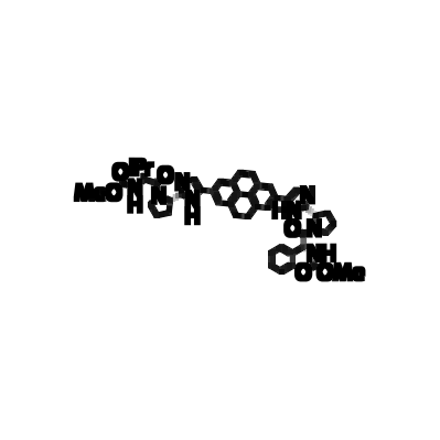 COC(=O)N[C@H](C(=O)N1CCC[C@H]1c1ncc(-c2cc3c4c(ccc5cc(-c6cnc([C@@H]7CCCN7C(=O)[C@H](NC(=O)OC)c7ccccc7)[nH]6)cc(c54)CC3)c2)[nH]1)C(C)C